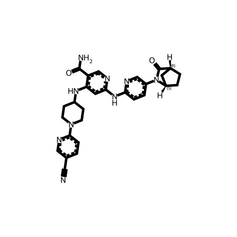 N#Cc1ccc(N2CCC(Nc3cc(Nc4ccc(N5C(=O)[C@@H]6CC[C@H]5C6)cn4)ncc3C(N)=O)CC2)nc1